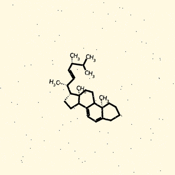 CC(C)[C@@H](C)/C=C/[C@@H](C)[C@H]1CCC2C3=CC=C4C[CH]CC[C@]4(C)C3CC[C@@]21C